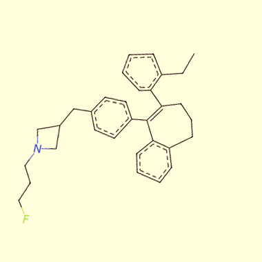 CCc1ccccc1C1=C(c2ccc(CC3CN(CCCF)C3)cc2)c2ccccc2CCC1